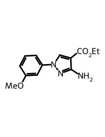 CCOC(=O)c1cn(-c2cccc(OC)c2)nc1N